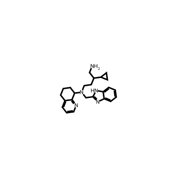 NCC(CCN(Cc1nc2ccccc2[nH]1)C1CCCc2cccnc21)C1CC1